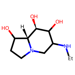 CCNC1CN2CCC(O)[C@@H]2[C@@H](O)C1O